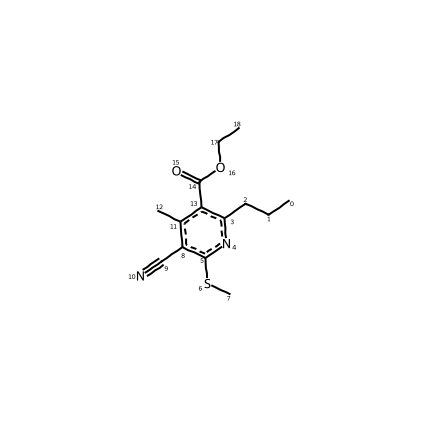 CCCc1nc(SC)c(C#N)c(C)c1C(=O)OCC